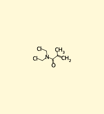 C=C(C)C(=O)N(CCl)CCl